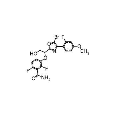 COc1ccc(-c2nc(C(CO)Oc3ccc(F)c(C(N)=O)c3F)oc2Br)c(F)c1